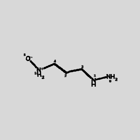 NNCCC[NH2+][O-]